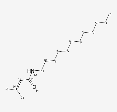 CCCCCCCCCCCCNC(=O)C=C(C)C